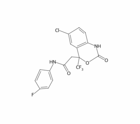 O=C(CC1(C(F)(F)F)OC(=O)Nc2ccc(Cl)cc21)Nc1ccc(F)cc1